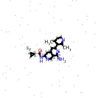 Cc1ccnc(C)c1-c1cc2cc(NC(=O)[C@@H]3C[C@@H]3F)ncc2c(N)n1